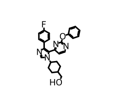 OCC1CCC(n2cnc(-c3ccc(F)cc3)c2-c2ccnc(Oc3ccccc3)n2)CC1